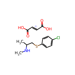 CNC(C)CSc1ccc(Cl)cc1.O=C(O)/C=C/C(=O)O